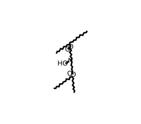 CCCCCCCCCCCC(CCCCCCCC)OC(=O)CCCCCN(CCO)CCCCCC(=O)OC(CCCCCCCC)CCCCCCCCCCC